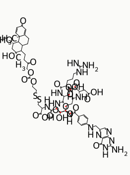 CC1(O)CC(O)C2C(CCC3=CC(=O)C=CC32C)C1CCC(=O)COC(=O)OCCSSCC(NC(=O)C(CC=O)NC(=O)C(CC(=O)O)NC(=O)C(CCCNC(=N)N)NC(=O)C(CC(=O)O)NC(=O)CCC(NC(=O)c1ccc(NCc2cnc3nc(N)[nH]c(=O)c3n2)cc1)C(=O)O)C(=O)O